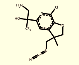 CC1(CN=[N+]=[N-])COc2c1cc(C(O)(CN)C(F)(F)F)nc2Cl